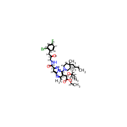 C=CCCC1(C)CCN(c2c([C@H](OC(C)(C)C)C(=O)OCC)c(C)nc3cc(C(=O)NCC(=O)Cc4ccc(F)cc4Br)nn23)CC1